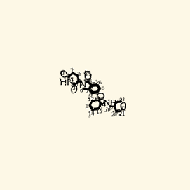 O=C1CCC(N2Cc3cc(O[C@@H]4CCCC[C@H]4NCC4CCOCC4)ccc3C2=O)C(=O)N1